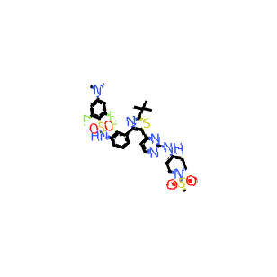 CN(C)c1cc(F)c(S(=O)(=O)Nc2cccc(-c3nc(C(C)(C)C)sc3-c3ccnc(NC4CCN(S(C)(=O)=O)CC4)n3)c2F)c(F)c1